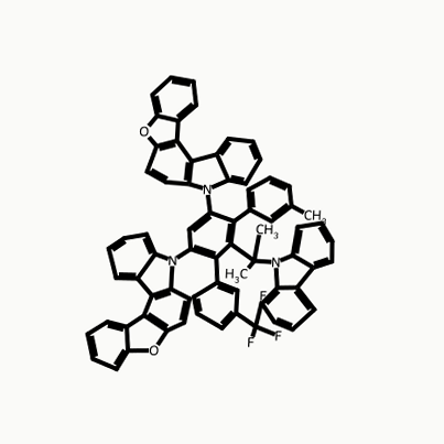 Cc1cccc(-c2c(-n3c4ccccc4c4c5c(ccc43)oc3ccccc35)cc(-n3c4ccccc4c4c5c(ccc43)oc3ccccc35)c(-c3cccc(C(F)(F)F)c3)c2C(C)(C)n2c3ccccc3c3ccccc32)c1